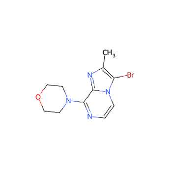 Cc1nc2c(N3CCOCC3)nccn2c1Br